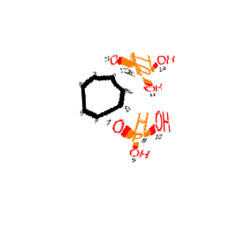 C1CCCCCC1.O=[PH](O)O.O=[PH](O)O